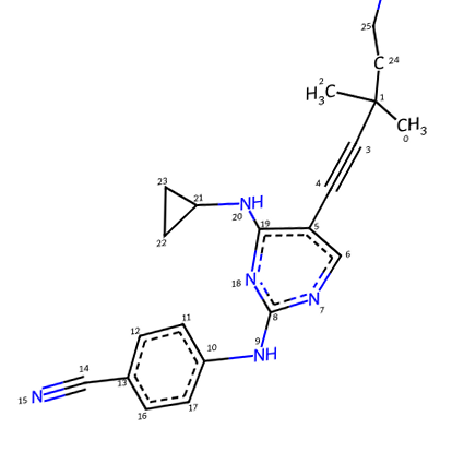 CC(C)(C#Cc1cnc(Nc2ccc(C#N)cc2)nc1NC1CC1)CCN